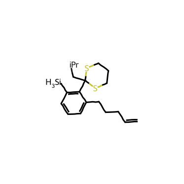 C=CCCCc1cccc([SiH3])c1C1(CC(C)C)SCCCS1